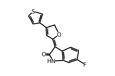 O=C1Nc2cc(F)ccc2C1=C1C=C(c2ccsc2)CO1